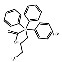 Br.CCCCP(C(=O)O)(c1ccccc1)(c1ccccc1)c1ccccc1